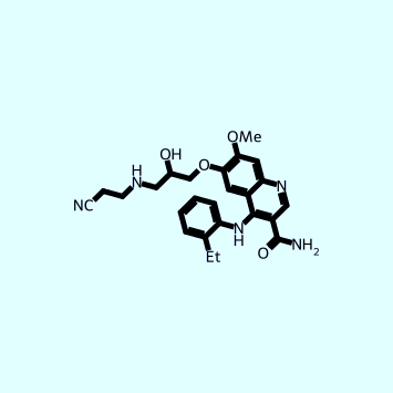 CCc1ccccc1Nc1c(C(N)=O)cnc2cc(OC)c(OCC(O)CNCCC#N)cc12